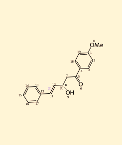 COc1ccc(C(=O)C[C@H](O)/C=C/c2ccccc2)cc1